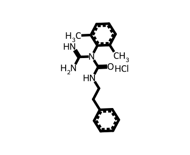 Cc1cccc(C)c1N(C(=N)N)C(=O)NCCc1ccccc1.Cl